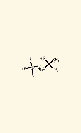 CC(C)(C)[NH3+].C[B-](F)(F)F